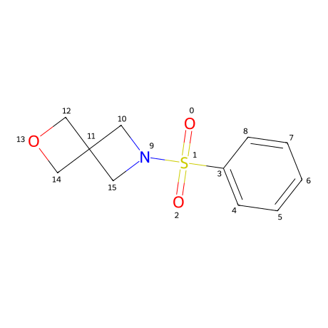 O=S(=O)(c1ccccc1)N1CC2(COC2)C1